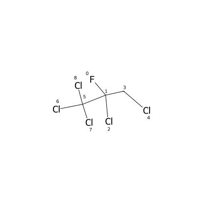 FC(Cl)(CCl)C(Cl)(Cl)Cl